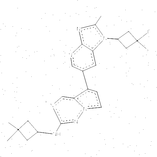 Cc1nc2ncc(-c3ccn4nc(NC5CC(C)(C)C5)ncc34)cc2n1C1CC(F)(F)C1